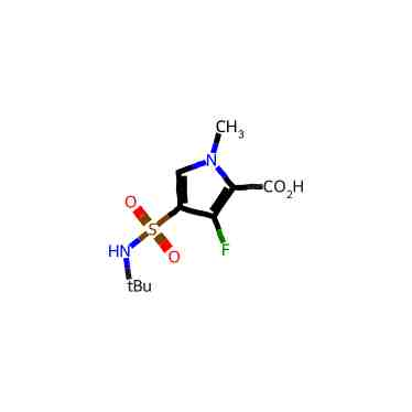 Cn1cc(S(=O)(=O)NC(C)(C)C)c(F)c1C(=O)O